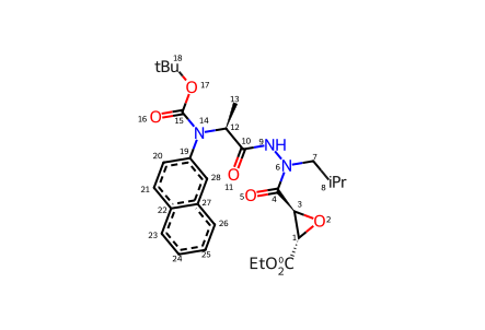 CCOC(=O)[C@H]1O[C@@H]1C(=O)N(CC(C)C)NC(=O)[C@H](C)N(C(=O)OC(C)(C)C)c1ccc2ccccc2c1